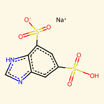 O=S(=O)([O-])c1cc(S(=O)(=O)O)cc2nc[nH]c12.[Na+]